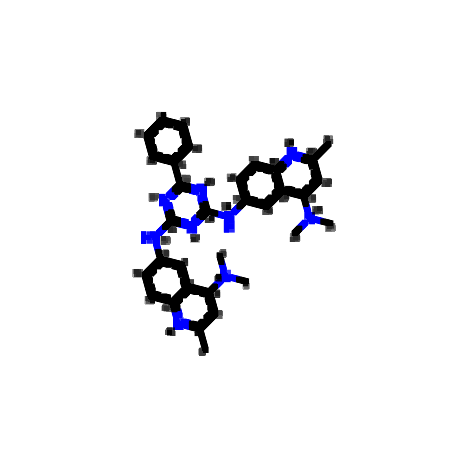 Cc1cc(N(C)C)c2cc(Nc3nc(Nc4ccc5nc(C)cc(N(C)C)c5c4)nc(-c4ccccc4)n3)ccc2n1